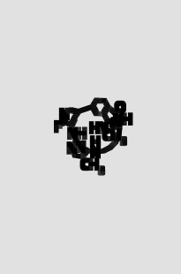 CNC(=O)c1cc2ccc1C(=O)NCCCCCNc1nc(ncc1C)Nc1cc-2cnc1F